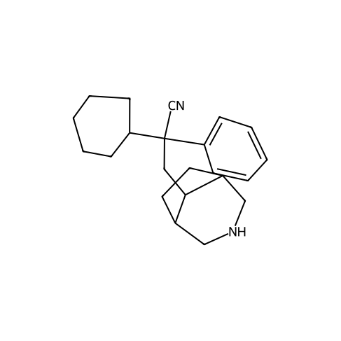 N#CC(CC1C2CCC1CNC2)(c1ccccc1)C1CCCCC1